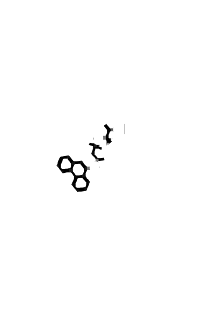 C=C(C(=O)OC(C)(C)CC(C)Oc1cc2ccccc2c2ccccc12)C(F)(F)F